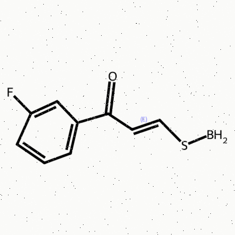 BS/C=C/C(=O)c1cccc(F)c1